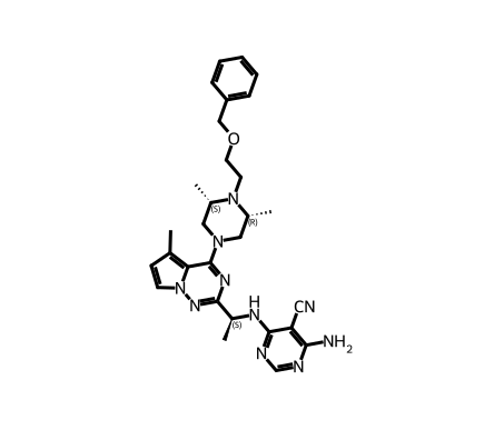 Cc1ccn2nc([C@H](C)Nc3ncnc(N)c3C#N)nc(N3C[C@@H](C)N(CCOCc4ccccc4)[C@@H](C)C3)c12